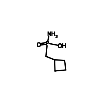 NP(=O)(O)CC1CCC1